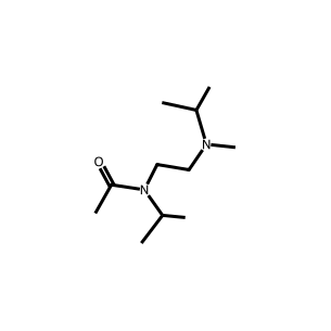 CC(=O)N(CCN(C)C(C)C)C(C)C